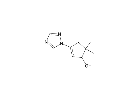 CC1(C)CC(n2cncn2)=CC1O